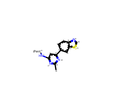 CCCC(C)Nc1cc(-c2ccc3ncsc3c2)nc(C)n1